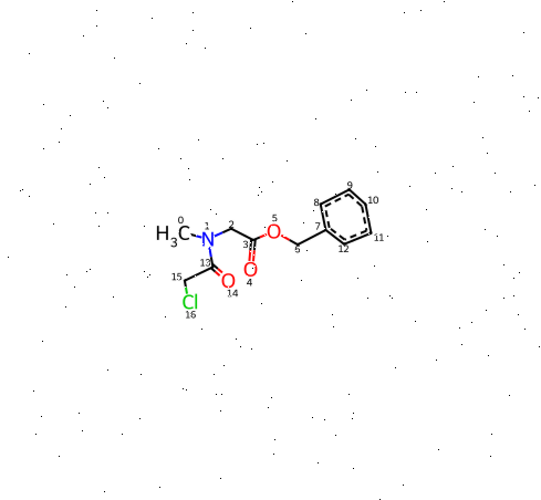 CN(CC(=O)OCc1ccccc1)C(=O)CCl